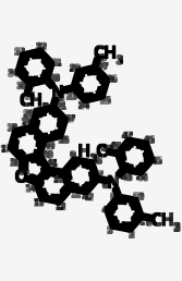 Cc1cccc(N(c2ccc3c(ccc4oc5ccc6cc(N(c7cccc(C)c7)c7ccccc7C)ccc6c5c43)c2)c2ccccc2C)c1